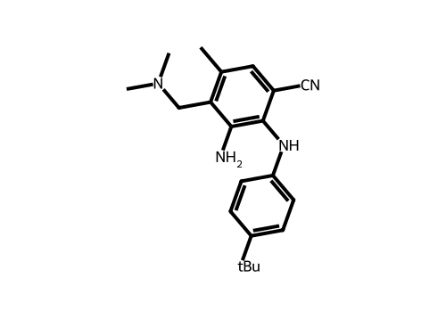 Cc1cc(C#N)c(Nc2ccc(C(C)(C)C)cc2)c(N)c1CN(C)C